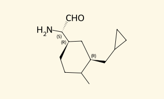 CC1CC[C@@H]([C@H](N)C=O)C[C@H]1CC1CC1